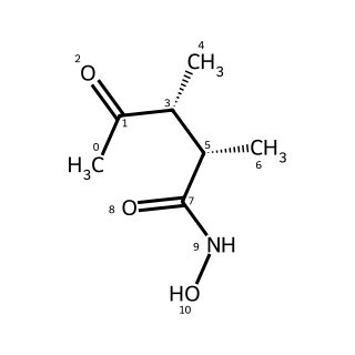 CC(=O)[C@H](C)[C@H](C)C(=O)NO